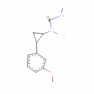 CNC(=O)N(C)C1CC1c1cccc(OC)c1